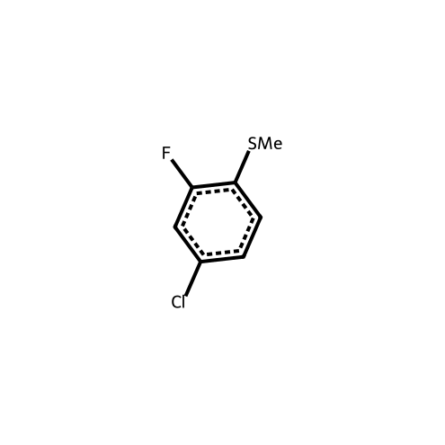 CSc1ccc(Cl)cc1F